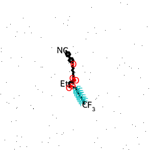 CCC(CC(C)C(=O)OCCCCCCOc1ccc(-c2ccc(C#N)cc2)cc1)C(=O)OCCC(F)(F)C(F)(F)C(F)(F)C(F)(F)C(F)(F)C(F)(F)C(F)(F)C(F)(F)F